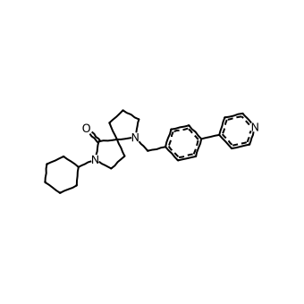 O=C1N(C2CCCCC2)CCC12CCCN2Cc1ccc(-c2ccncc2)cc1